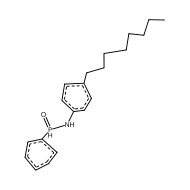 CCCCCCCCc1ccc(N[PH](=O)c2ccccc2)cc1